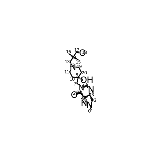 Cn1cc2ncn(CC3(O)CCN(CC(C)(C)C=O)CC3)c(=O)c2n1